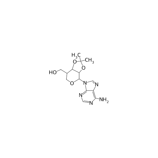 CC1(C)OC2C(CO)COC(n3cnc4c(N)ncnc43)C2O1